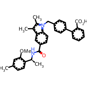 COc1cc(C)ccc1[C@H](C)NC(=O)c1ccc2c(c1)c(C)c(C)n2Cc1ccc(-c2ccccc2C(=O)O)cc1